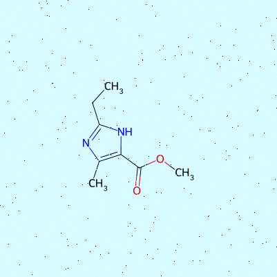 CCc1nc(C)c(C(=O)OC)[nH]1